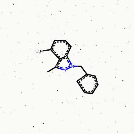 Cc1nn(Cc2ccccc2)c2cccc([N+](=O)[O-])c12